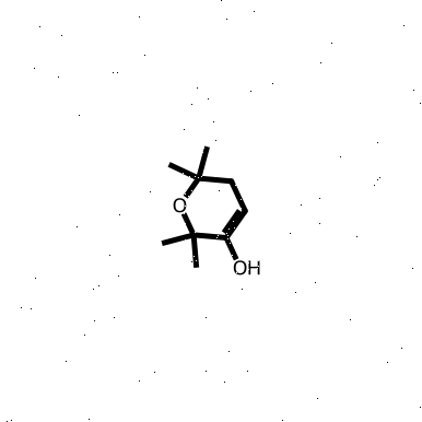 CC1(C)CC=C(O)C(C)(C)O1